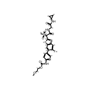 COCCOC(=O)Nc1ccc(-c2cc3sc(C(C(=O)NCC(=O)NC4CC4)S(C)(=O)=O)nc3cc2F)cn1